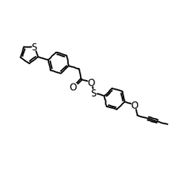 CC#CCOc1ccc(SOC(=O)Cc2ccc(-c3cccs3)cc2)cc1